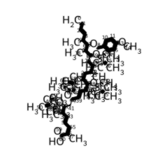 C=CC=C[C@H](C)[C@H](OCc1ccc(OC)cc1)[C@@H](C)[C@H](CC[C@H](C)C[C@H](C)[C@@H](O[Si](C)(C)C(C)(C)C)[C@@H](C)C=C[C@H](C[C@H](O[Si](C)(C)C(C)(C)C)[C@H](C)C=CC=C(C)C(=O)O)O[Si](C)(C)C(C)(C)C)O[Si](C)(C)C(C)(C)C